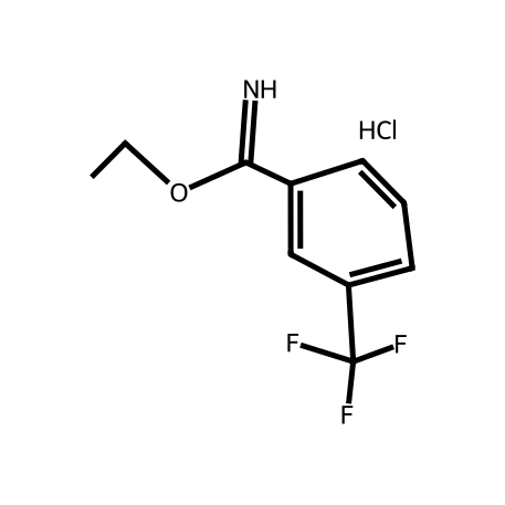 CCOC(=N)c1cccc(C(F)(F)F)c1.Cl